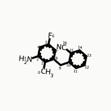 Cc1c(N)cc(F)cc1Cc1ccccc1C#N